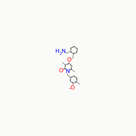 COc1cc(Cn2c(C)cc(OCc3ccccc3CN)c(C)c2=O)ccc1C